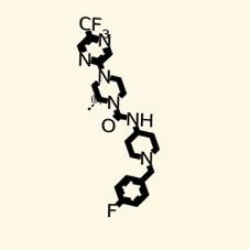 C[C@@H]1CN(c2cnc(C(F)(F)F)cn2)CCN1C(=O)NC1CCN(Cc2ccc(F)cc2)CC1